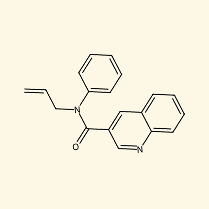 C=CCN(C(=O)c1cnc2ccccc2c1)c1ccccc1